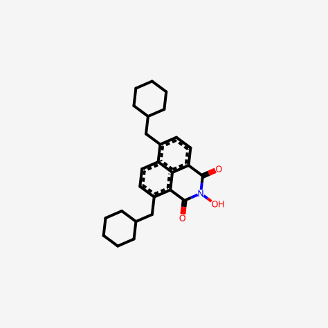 O=C1c2ccc(CC3CCCCC3)c3ccc(CC4CCCCC4)c(c23)C(=O)N1O